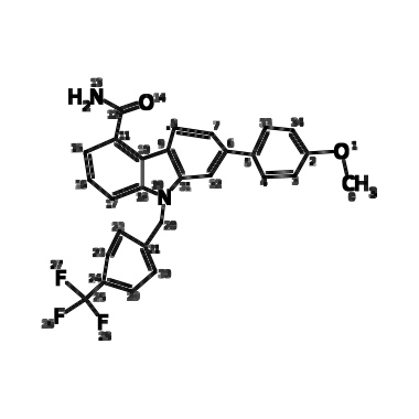 COc1ccc(-c2c[c]c3c4c(C(N)=O)cccc4n(Cc4ccc(C(F)(F)F)cc4)c3c2)cc1